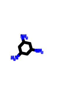 NC1CC(N)CC(N)C1